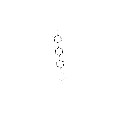 CCCc1ccc(-c2ccc(-c3ccc(C4CCC(OCC)CO4)c(F)c3F)c(F)c2F)cc1F